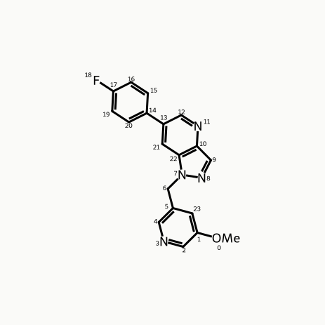 COc1cncc(Cn2ncc3ncc(-c4ccc(F)cc4)cc32)c1